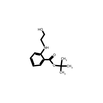 CC(C)(C)OC(=O)c1ccccc1NCCO